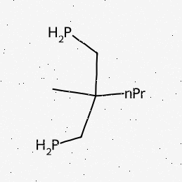 CCCC(C)(CP)CP